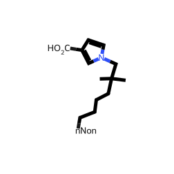 CCCCCCCCCCCCCC(C)(C)Cn1ccc(C(=O)O)c1